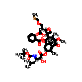 CO/C1=C(\C)C([C@]2(OC(C)=O)CO[C@@H]2CCOCSC)[C@H](OC(=O)c2ccccc2)[C@]2(O)C[C@H](OC(=O)[C@H](O)[C@H](CC(C)C)NC(=O)OC(C)(C)C)C(C)=C(C1=O)C2(C)C